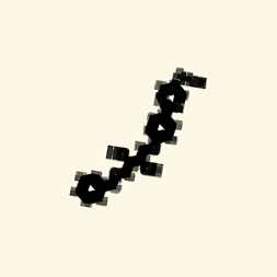 CCCCCCc1cnc(-c2ccc(OC[C@H](O)[C@@H](O)COCc3ccccc3)cc2)nc1